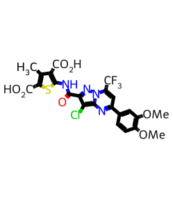 COc1ccc(-c2cc(C(F)(F)F)n3nc(C(=O)Nc4sc(C(=O)O)c(C)c4C(=O)O)c(Cl)c3n2)cc1OC